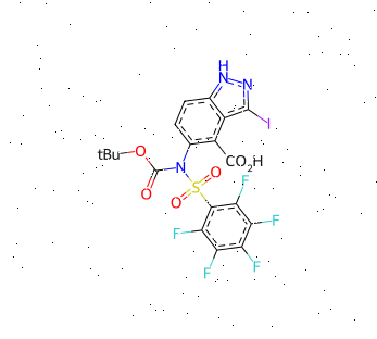 CC(C)(C)OC(=O)N(c1ccc2[nH]nc(I)c2c1C(=O)O)S(=O)(=O)c1c(F)c(F)c(F)c(F)c1F